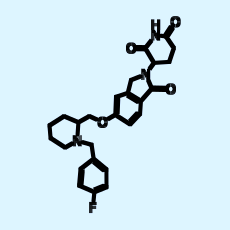 O=C1CCC(N2Cc3cc(OCC4CCCCN4Cc4ccc(F)cc4)ccc3C2=O)C(=O)N1